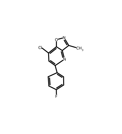 Cc1noc2c(Cl)cc(-c3ccc(F)cc3)nc12